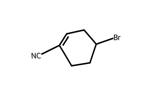 N#CC1=CCC(Br)CC1